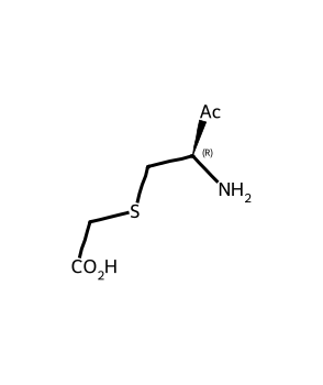 CC(=O)[C@@H](N)CSCC(=O)O